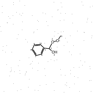 COOC(O)c1ccccc1